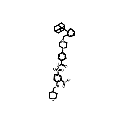 O=C(NS(=O)(=O)c1ccc(NCC2CCOCC2)c([N+](=O)[O-])c1)c1ccc(N2CCN(Cc3ccccc3C3=CC4CC5CC(C4)CC3C5)CC2)cc1